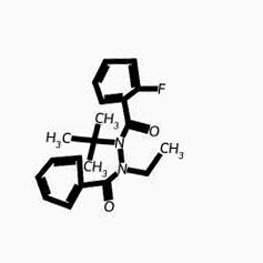 CCN(C(=O)c1ccccc1)N(C(=O)c1ccccc1F)C(C)(C)C